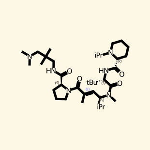 C/C(=C\[C@H](C(C)C)N(C)C(=O)[C@@H](NC(=O)[C@H]1CCCCN1C(C)C)C(C)(C)C)C(=O)N1CCC[C@H]1C(=O)NCC(C)(C)CN(C)C